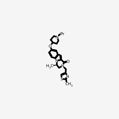 Cc1nc(CN2C[C@@H](C)n3c(cc4cc(OC5CCN(C(C)C)CC5)ccc43)C2=O)cs1